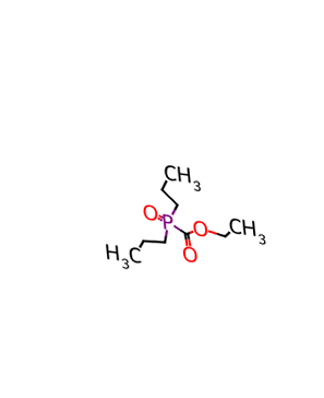 CCCP(=O)(CCC)C(=O)OCC